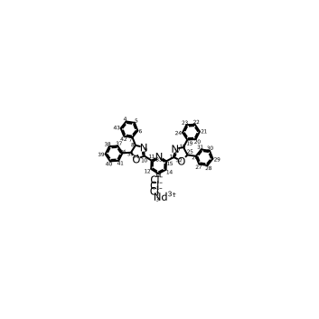 [Cl-].[Cl-].[Cl-].[Nd+3].c1ccc(C2N=C(c3cccc(C4=NC(c5ccccc5)C(c5ccccc5)O4)n3)OC2c2ccccc2)cc1